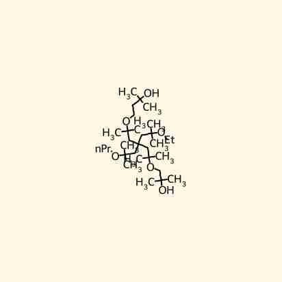 CCCOC(C)(C)CC(CC(C)(C)OCC)(CC(C)(C)OCCC(C)(C)O)CC(C)(C)OCC(C)(C)O